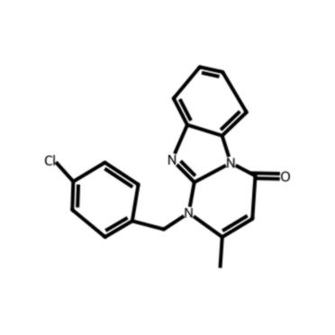 Cc1cc(=O)n2c3ccccc3nc2n1Cc1ccc(Cl)cc1